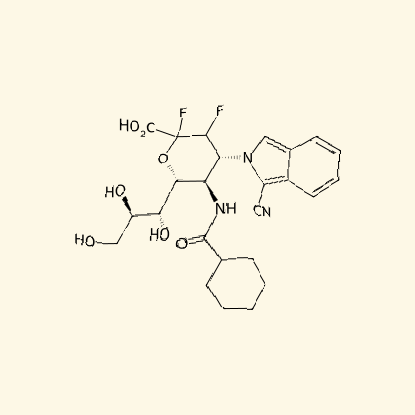 N#Cc1c2ccccc2cn1[C@H]1C(F)C(F)(C(=O)O)O[C@@H]([C@H](O)[C@H](O)CO)[C@@H]1NC(=O)C1CCCCC1